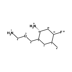 CC1CC(COCN)[C@H](N)CC1F